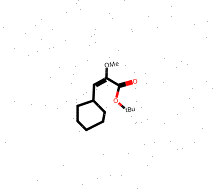 COC(=CC1CCCCC1)C(=O)OC(C)(C)C